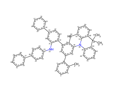 Cc1ccccc1-c1cc(-c2ccc(-c3ccccc3)cc2Nc2ccc(-c3ccccc3)cc2)c2c(c1)N1c3ccccc3C(C)(C)c3cccc(c31)B2